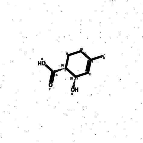 CC1=C[C@H](O)[C@H](C(=O)O)CC1